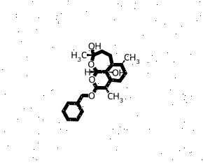 C[C@H]1C(OCC2CCCCC2)O[C@@H]2O[C@](C)(O)CCC3[C@H](C)CCC1[C@]32O